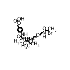 C=C(Br)C(=O)NCCOCCC(=O)N[C@H](C(=O)N[C@@H](C)C(=O)Nc1ccc(COC(=O)O)cc1)C(C)C